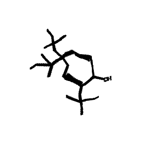 CC(C)(C)C1=CC(C(C)(C)C)(C(C)(C)C)C=CC1O